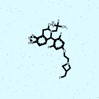 CC1Cc2c(ccc3[nH]nnc23)C(c2c(F)cc(OCCN3CC(CF)C3)cc2F)N1CC(C)(C)F